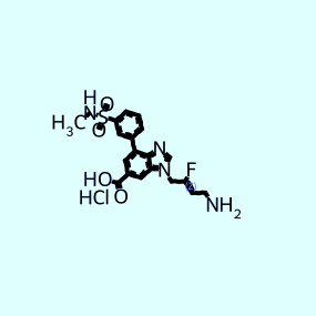 CNS(=O)(=O)c1cccc(-c2cc(C(=O)O)cc3c2ncn3C/C(F)=C/CN)c1.Cl